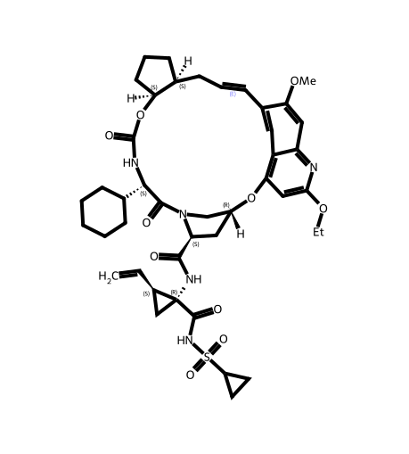 C=C[C@@H]1C[C@]1(NC(=O)[C@@H]1C[C@@H]2CN1C(=O)[C@H](C1CCCCC1)NC(=O)O[C@H]1CCC[C@H]1C/C=C/c1cc3c(cc(OCC)nc3cc1OC)O2)C(=O)NS(=O)(=O)C1CC1